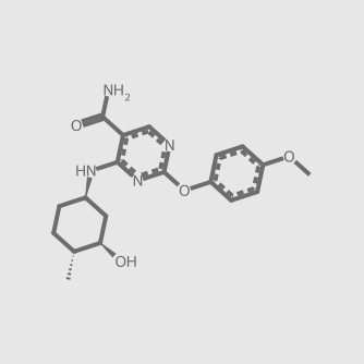 COc1ccc(Oc2ncc(C(N)=O)c(N[C@@H]3CC[C@@H](C)[C@H](O)C3)n2)cc1